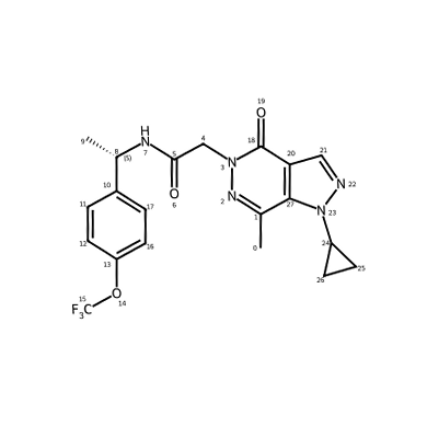 Cc1nn(CC(=O)N[C@@H](C)c2ccc(OC(F)(F)F)cc2)c(=O)c2cnn(C3CC3)c12